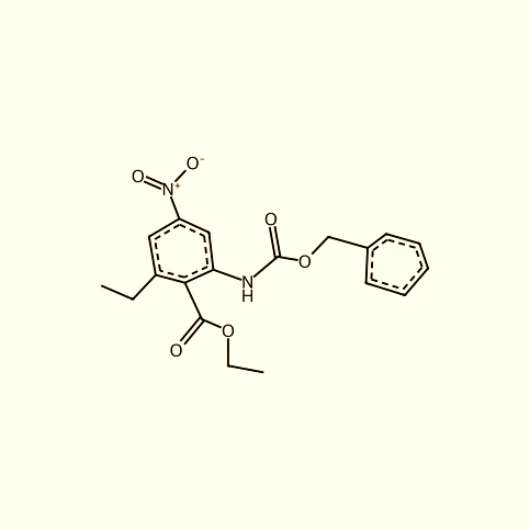 CCOC(=O)c1c(CC)cc([N+](=O)[O-])cc1NC(=O)OCc1ccccc1